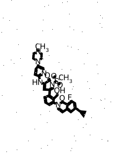 CN1CCN(c2ccc(Nc3cc(-c4cccc(-n5ccc6cc(C7CC7)cc(F)c6c5=O)c4CO)cn(S(C)(=O)=O)c3=O)nc2)CC1